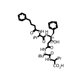 CC[C@H](C)[C@H](NC(=O)C[C@H](O)[C@H](Cc1ccccc1)NC(=O)C(NC(=O)CCCc1ccccc1)C(C)C)C(=O)NC(C(=O)O)C(C)C